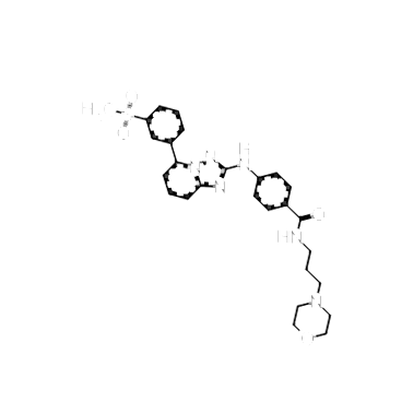 CS(=O)(=O)c1cccc(-c2cccc3nc(Nc4ccc(C(=O)NCCCN5CCOCC5)cc4)nn23)c1